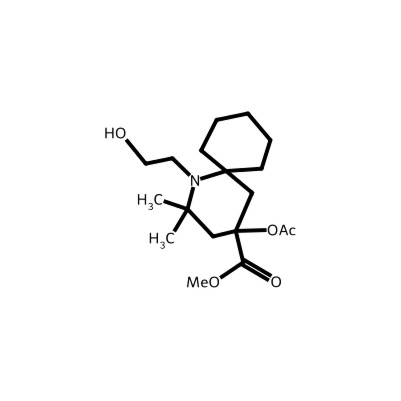 COC(=O)C1(OC(C)=O)CC(C)(C)N(CCO)C2(CCCCC2)C1